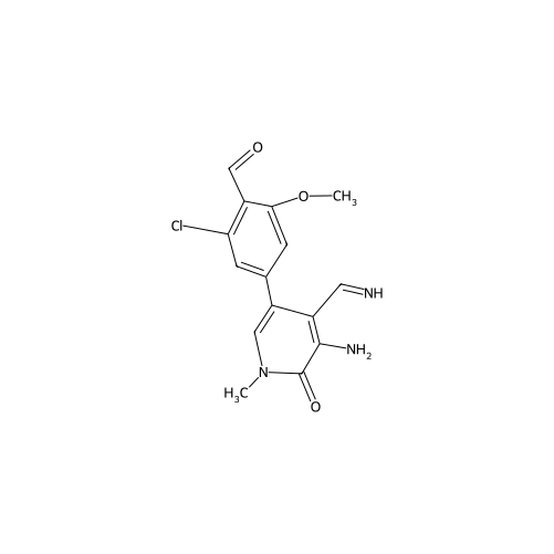 COc1cc(-c2cn(C)c(=O)c(N)c2C=N)cc(Cl)c1C=O